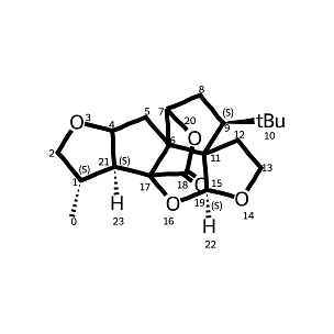 C[C@@H]1COC2CC34C5C[C@@H](C(C)(C)C)C36CCO[C@H]6OC4(C(=O)O5)[C@H]21